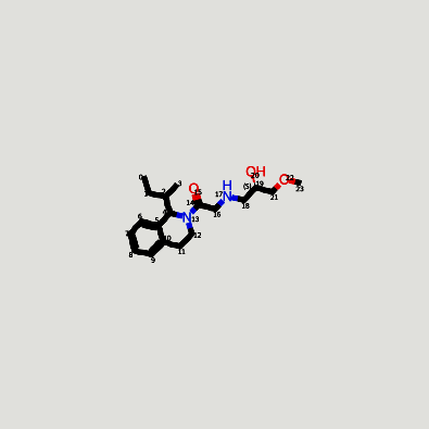 CCC(C)C1c2ccccc2CCN1C(=O)CNC[C@H](O)COC